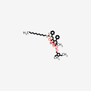 C=CC1CC(C=C)C(COCOC(=O)C(C)(C)CC(c2ccccc2)C2C(=O)OC(=O)C2CC(SC(=S)SCCCCCCCCCCCC)c2ccccc2)C1